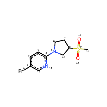 CC(C)c1ccc(N2CCC(S(C)(=O)=O)C2)nc1